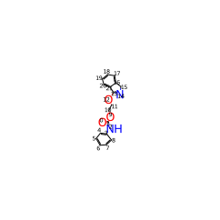 O=C(Nc1ccccc1)OCCOC1=NCc2ccccc21